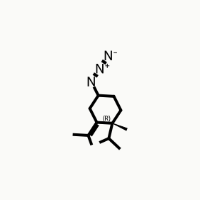 CC(C)=C1CC(N=[N+]=[N-])CC[C@]1(C)C(C)C